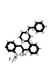 OC(Cc1ccccc1SC(F)(F)F)c1ccccc1C1CN(Cc2ccccc2)CCO1